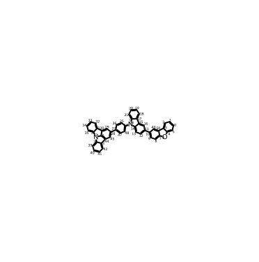 c1ccc2c(c1)oc1ccc(-c3ccc4c(c3)c3ccccc3n4-c3ccc(-c4cc5c6ccccc6n6c7ccccc7c(c4)c56)cc3)cc12